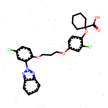 O=C(O)C1(Oc2ccc(OCCCOc3ccc(Cl)cc3-n3nc4ccccc4n3)cc2Cl)CCCCC1